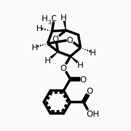 C[C@@H]1[C@H]2O[C@H]3C[C@@H]1O[C@@H]2[C@H]3OC(=O)c1ccccc1C(=O)O